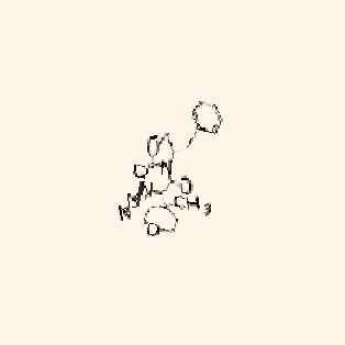 CC1([C@H](N=[N+]=[N-])C(=O)N2C(=O)OC[C@@H]2Cc2ccccc2)CCOCC1